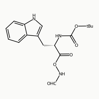 CC(C)(C)OC(=O)N[C@@H](Cc1c[nH]c2ccccc12)C(=O)ONC=O